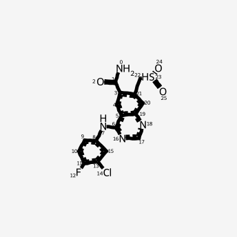 NC(=O)c1cc2c(Nc3ccc(F)c(Cl)c3)ncnc2cc1C[SH](=O)=O